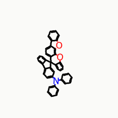 c1ccc(N(c2ccccc2)c2ccc3c(c2)C2(c4ccccc4Oc4c2ccc2c4oc4ccccc42)c2ccccc2-3)cc1